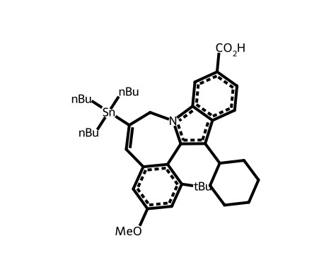 CCC[CH2][Sn]([CH2]CCC)([CH2]CCC)[C]1=Cc2cc(OC)cc(C(C)(C)C)c2-c2c(C3CCCCC3)c3ccc(C(=O)O)cc3n2C1